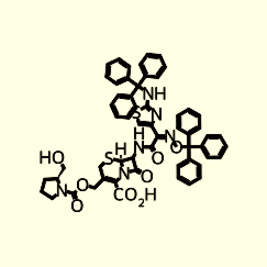 O=C(O)C1=C(COC(=O)N2CCC[C@H]2CO)CS[C@H]2C(NC(=O)/C(=N\OC(c3ccccc3)(c3ccccc3)c3ccccc3)c3csc(NC(c4ccccc4)(c4ccccc4)c4ccccc4)n3)C(=O)N12